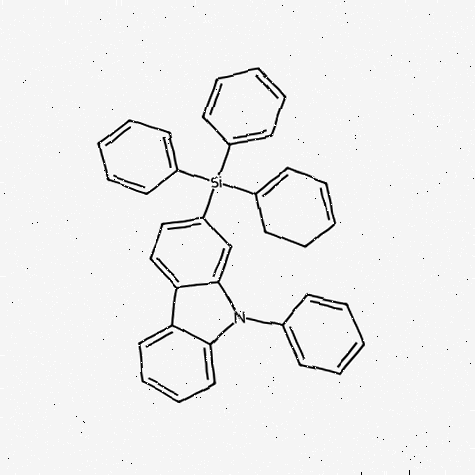 C1=CCCC([Si](c2ccccc2)(c2ccccc2)c2ccc3c4ccccc4n(-c4ccccc4)c3c2)=C1